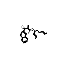 CC=CCCC(C=CC)OC(=O)C(C)C(=O)c1ccc2ccccc2c1